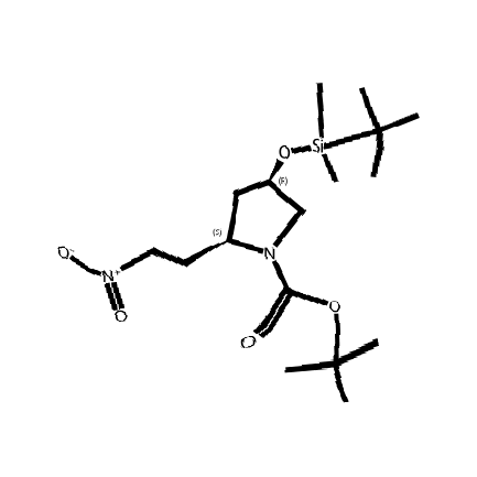 CC(C)(C)OC(=O)N1C[C@H](O[Si](C)(C)C(C)(C)C)C[C@@H]1CC[N+](=O)[O-]